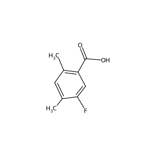 Cc1cc(C)c(C(=O)O)cc1F